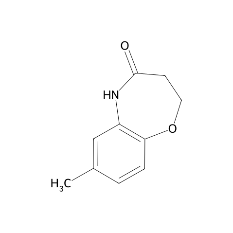 Cc1ccc2c(c1)NC(=O)CCO2